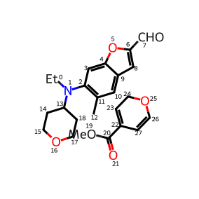 CCN(c1cc2oc(C=O)cc2cc1C)C1CCOCC1.COC(=O)C1=CCOC=C1